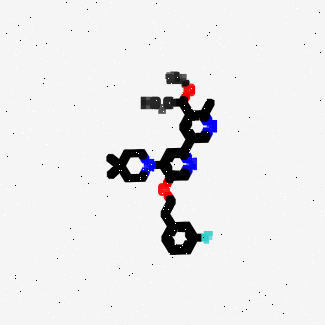 Cc1ncc(-c2cc(N3CCC(C)(C)CC3)c(OCCc3cccc(F)c3)cn2)cc1C(OC(C)(C)C)C(=O)O